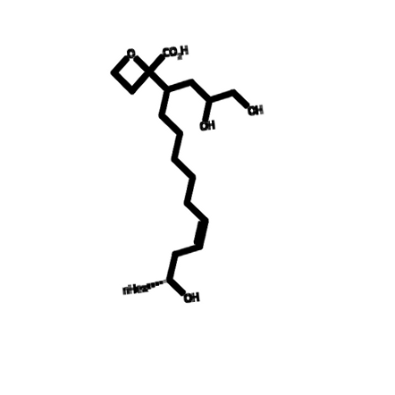 CCCCCC[C@@H](O)C/C=C\CCCCCC(CC(O)CO)C1(C(=O)O)CCO1